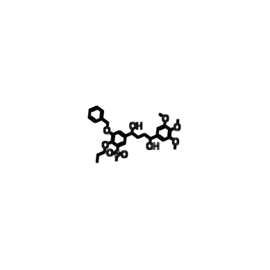 CCCOc1c(OCc2ccccc2)cc(C(O)CCC(O)c2cc(OC)c(OC)c(OC)c2)cc1S(C)(=O)=O